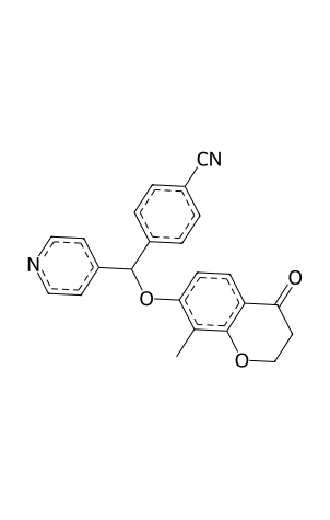 Cc1c(OC(c2ccncc2)c2ccc(C#N)cc2)ccc2c1OCCC2=O